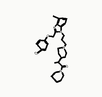 Cc1cccc2c1nc(COc1ccc(Cl)cc1)n2CCCN1CCC(C(C)C(=O)N2CCCCC2)CC1